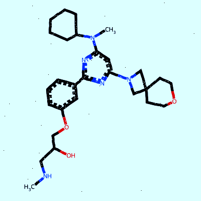 CNCC(O)COc1cccc(-c2nc(N3CC4(CCOCC4)C3)cc(N(C)C3CCCCC3)n2)c1